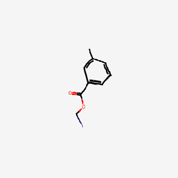 Cc1cccc(C(=O)OCI)c1